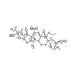 CO[C@H](/C=C1\CCCC2(C)[C@@H]([C@H](C)C=O)CC[C@@H]12)[C@]12C[C@H]1CC(O[Si](C)(C)C(C)(C)C)C2=O